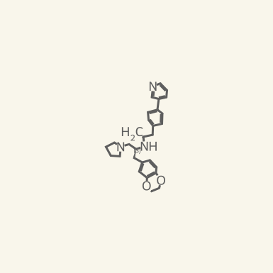 C=C(Cc1ccc(-c2cccnc2)cc1)N[C@@H](Cc1ccc2c(c1)OCCO2)CN1CCCC1